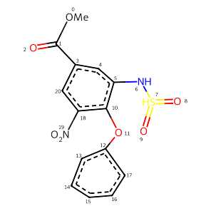 COC(=O)c1cc(N[SH](=O)=O)c(Oc2ccccc2)c([N+](=O)[O-])c1